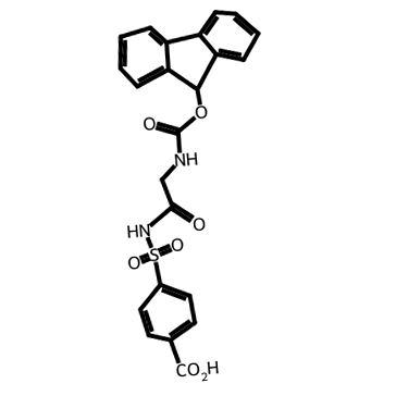 O=C(CNC(=O)OC1c2ccccc2-c2ccccc21)NS(=O)(=O)c1ccc(C(=O)O)cc1